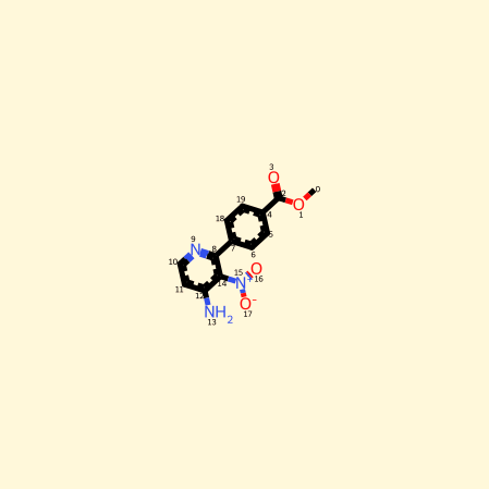 COC(=O)c1ccc(-c2nccc(N)c2[N+](=O)[O-])cc1